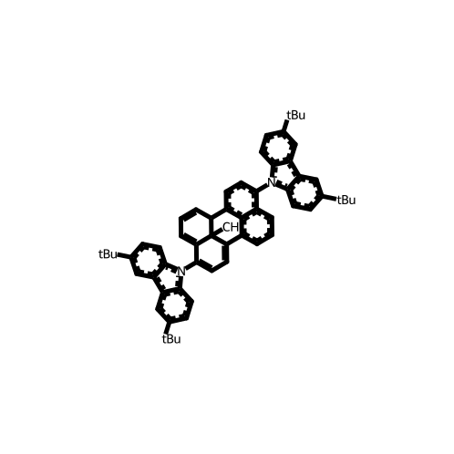 CC(C)(C)c1ccc2c(c1)c1cc(C(C)(C)C)ccc1n2C1=CC=C2c3cccc4c(-n5c6ccc(C(C)(C)C)cc6c6cc(C(C)(C)C)ccc65)ccc(c34)C3C=CC=C1C23C